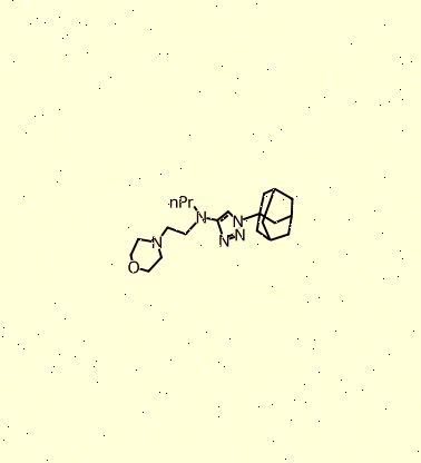 CCCN(CCN1CCOCC1)c1cn(C23CC4CC(CC(C4)C2)C3)nn1